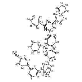 N#Cc1ccc(-c2cccc(C34CC5CC3CC(c3ccc6c7ccc(-c8cc(-c9ccc%10ccccc%10c9)nc(-c9ccccc9)n8)cc7n(-c7ccccc7)c6c3)(C5)C4)c2)cc1